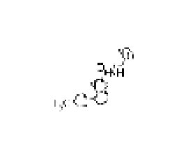 O=C(NCCc1ncco1)c1cnc2c(C3=CC[C@@H](C(F)(F)F)CC3)cccc2c1